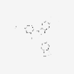 COc1ccc(-c2c(C(=O)O)n(Cc3ccc4nsnc4c3)c3cc(OC)c(OC)c(OC)c23)c(C(=O)O)c1